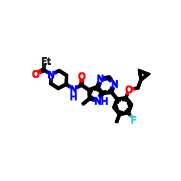 CCC(=O)N1CCC(NC(=O)c2c(C)[nH]c3c(-c4cc(C)c(F)cc4OCC4CC4)ncnc23)CC1